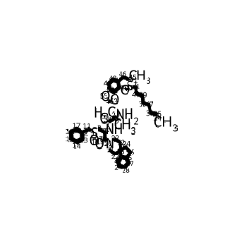 CC(C)(N)C(=O)NC(C[S+]([O-])Cc1ccccc1)C(=O)N1CCC2(CCc3ccccc32)CC1.CCCCCCCC[S+]([O-])C(C)Cc1ccc2c(c1)OCO2